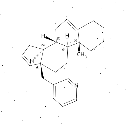 C[C@]12CCCCC1=CC[C@H]1[C@@H]3CC=C[C@@]3(Cc3cccnc3)CC[C@@H]12